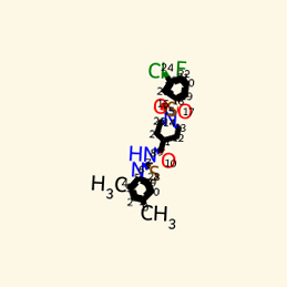 Cc1cc(C)c2nc(NC(=O)C3CCN(S(=O)(=O)c4ccc(F)c(Cl)c4)CC3)sc2c1